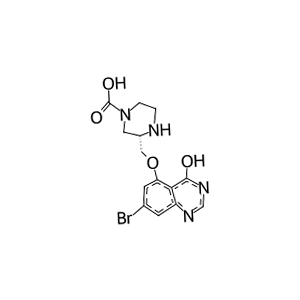 O=C(O)N1CCN[C@H](COc2cc(Br)cc3ncnc(O)c23)C1